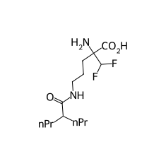 CCCC(CCC)C(=O)NCCCC(N)(C(=O)O)C(F)F